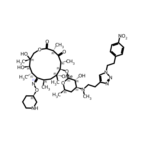 CO[C@]1(C)C[C@@H](C)/C(=N\O[C@@H]2CCCNC2)[C@H](C)[C@@H](O)[C@](C)(O)COC(=O)[C@H](C)C(=O)[C@H](C)[C@H]1O[C@@H]1O[C@H](C)C[C@H](N(C)CCc2cn(CCc3ccc([N+](=O)[O-])cc3)nn2)[C@H]1O